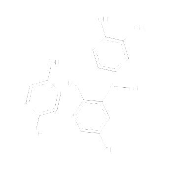 COc1cc(O)ccc1O.Oc1ccc(O)cc1.Oc1ccccc1O